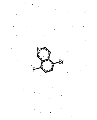 Fc1ccc(Br)c2ccncc12